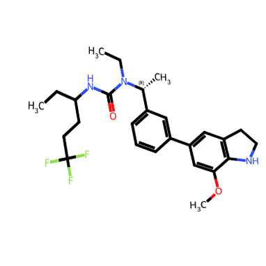 CCC(CCC(F)(F)F)NC(=O)N(CC)[C@H](C)c1cccc(-c2cc3c(c(OC)c2)NCC3)c1